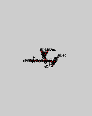 CCCCCCCCCCCCCCCC(=O)OCCN(CCOC(=O)CCCCCCCCCCCCC)C(=O)CCCC(=O)NCCCC[C@@H](NC(=O)CCCC(=O)N(CCOC(=O)CCCCCCCCCCCCCCC)CCOC(=O)CCCCCCCCCCCCCCC)C(=O)NCCCOCCOCCOCCCNC(=O)CCOCCOCCC